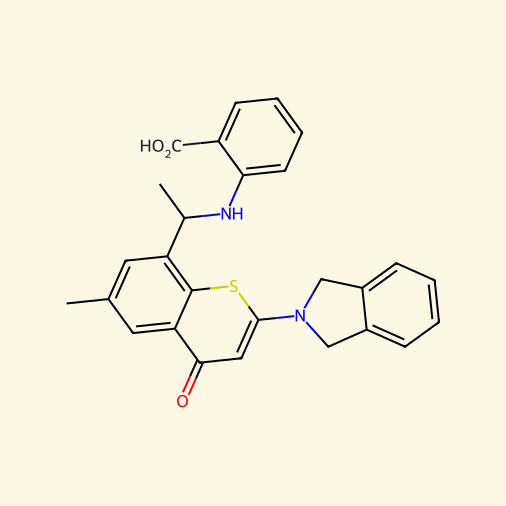 Cc1cc(C(C)Nc2ccccc2C(=O)O)c2sc(N3Cc4ccccc4C3)cc(=O)c2c1